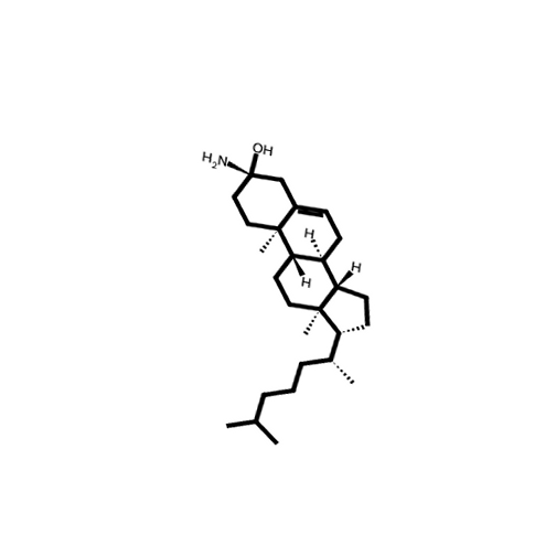 CC(C)CCC[C@@H](C)[C@H]1CC[C@H]2[C@@H]3CC=C4C[C@@](N)(O)CC[C@]4(C)[C@H]3CC[C@]12C